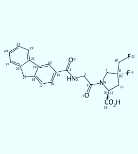 O=C(NCC(=O)N1C[C@@](F)(CF)C[C@H]1C(=O)O)c1ccc2c(c1)-c1ccccc1C2